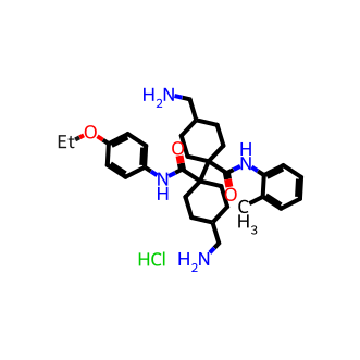 CCOc1ccc(NC(=O)C2(C3(C(=O)Nc4ccccc4C)CCC(CN)CC3)CCC(CN)CC2)cc1.Cl